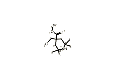 CC(C)OC(=O)C1(C[O])CC(C)(C)NC(C)(C)C1